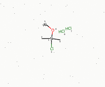 C[Si](C)(Cl)[O][Al].Cl.Cl